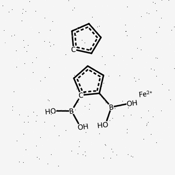 OB(O)c1ccc[c-]1B(O)O.[Fe+2].c1cc[cH-]c1